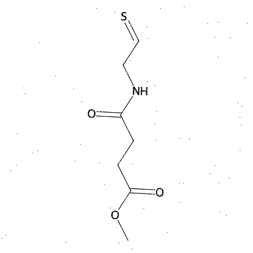 COC(=O)CCC(=O)NCC=S